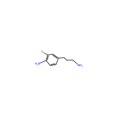 NCCCc1ccc(N)c(F)c1